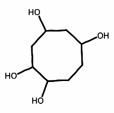 OC1CCC(O)C(O)CC(O)C1